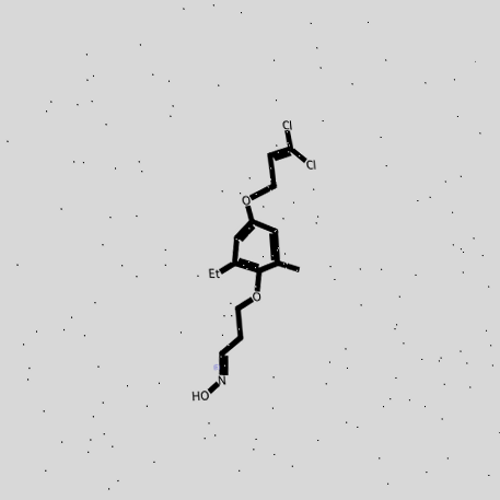 CCc1cc(OCC=C(Cl)Cl)cc(C)c1OCC/C=N/O